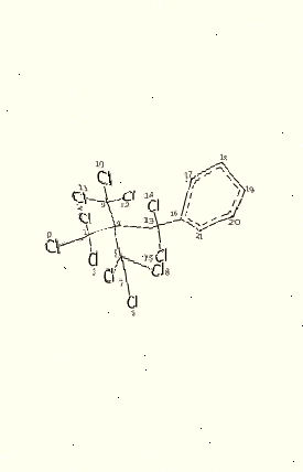 ClC(Cl)(Cl)C(C(Cl)(Cl)Cl)(C(Cl)(Cl)Cl)C(Cl)(Cl)c1[c]cccc1